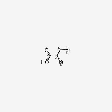 O=C(O)[C@H](Br)CBr